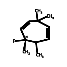 CC1C=CC(C)(C)C=C[C@@]1(C)F